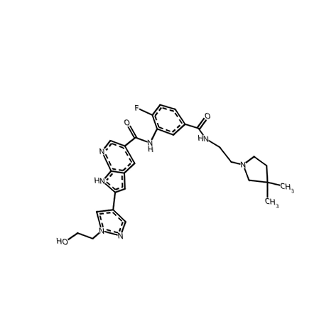 CC1(C)CCN(CCNC(=O)c2ccc(F)c(NC(=O)c3cnc4[nH]c(-c5cnn(CCO)c5)cc4c3)c2)C1